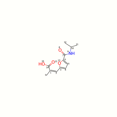 CC(=Cc1ccc(C(=O)NC(C)C)o1)C(=O)O